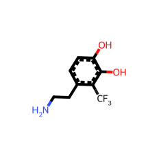 NCCc1ccc(O)c(O)c1C(F)(F)F